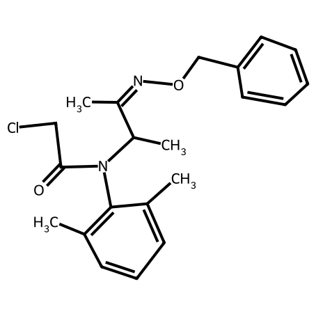 CC(=NOCc1ccccc1)C(C)N(C(=O)CCl)c1c(C)cccc1C